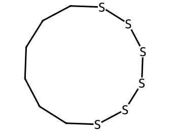 C1CCCSSSSSSCC1